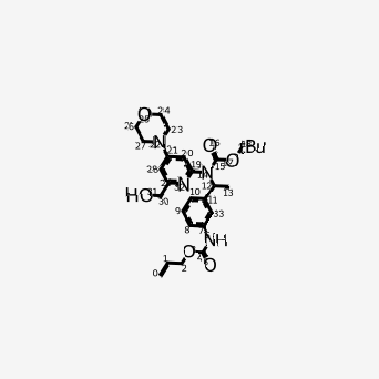 C=CCOC(=O)Nc1cccc(C(C)N(C(=O)OC(C)(C)C)c2cc(N3CCOCC3)cc(CO)n2)c1